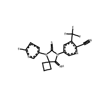 N#Cc1ncc(N2C(=N)C3(CCC3)N(c3ccc(F)nc3)C2=S)cc1C(F)(F)F